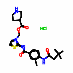 Cc1cc(C(=O)N=c2sccn2COC(=O)C2CCNCC2)ccc1NC(=O)CC(C)(C)C.Cl